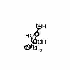 CN(c1ccc(-c2ccc(-c3cn[nH]c3)cc2O)nn1)C1CC2CCC(C1)N2.Cl